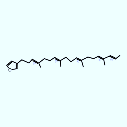 C/C=C/C(C)=C/CC/C(C)=C/CC/C(C)=C/CC/C(C)=C/CCc1ccoc1